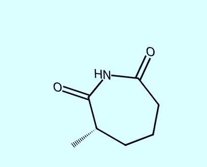 C[C@H]1CCCC(=O)NC1=O